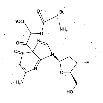 CCCCCCCCC(OC(=O)[C@@H](N)[C@@H](C)CC)C(=O)C12N=CN([C@H]3CC(F)[C@@H](CO)O3)C1=NC(N)=NC2=O